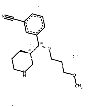 COCCCO[C@@H](c1cccc(C#N)c1)[C@@H]1CCCNC1